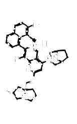 C#Cc1c(F)ccc2cccc(-c3ncc4c(N5CC6CCC(C5)N6)cc(OC[C@@]56CCCN5C[C@H](F)C6)nc4c3F)c12